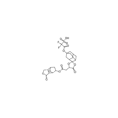 O=C(CC1OC2(OC1=O)C1CC3CC2CC(OC(=O)C(F)(F)S(=O)(=O)O)(C3)C1)OC1CC2OC1C1C(=O)OCC21